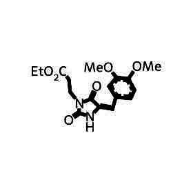 CCOC(=O)CCN1C(=O)NC(=Cc2ccc(OC)c(OC)c2)C1=O